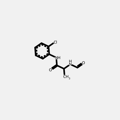 CC(NC=O)C(=O)Nc1ccccc1Cl